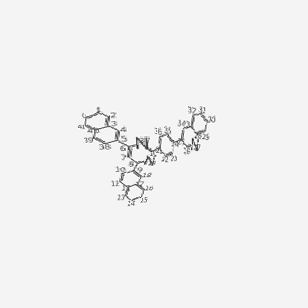 c1ccc2cc(-c3cc(-c4ccc5ccccc5c4)nc(-c4ccc(-c5cnc6ccccc6c5)cc4)n3)ccc2c1